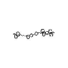 C=CC(=O)OCCCCCCOc1ccc(-c2ccc(/C=C/C(=O)Oc3ccc(OC(=O)C=C)cc3)cc2)cc1